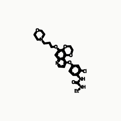 CCNC(=O)Nc1ccc(Oc2ccnc3cc(OCCCN4CCOCC4)c4c(c23)OCCO4)cc1Cl